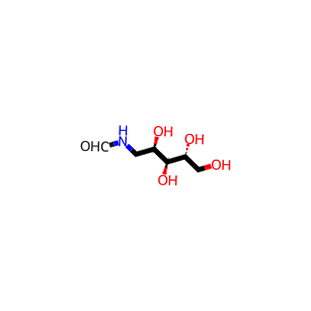 O=CNC[C@@H](O)[C@H](O)[C@H](O)CO